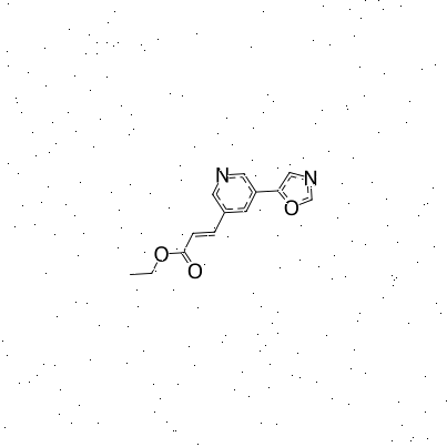 CCOC(=O)/C=C/c1cncc(-c2cnco2)c1